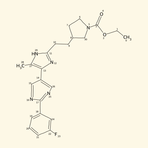 CCOC(=O)N1CCC(CCc2nc(-c3cnc(-c4cccc(F)c4)nc3)c(C)[nH]2)C1